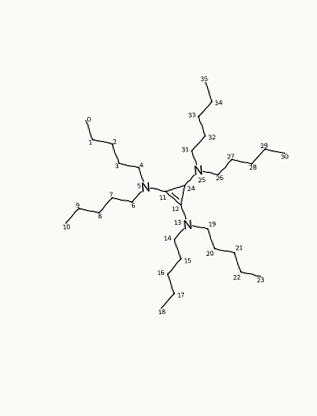 CCCCCN(CCCCC)C1=C(N(CCCCC)CCCCC)C1N(CCCCC)CCCCC